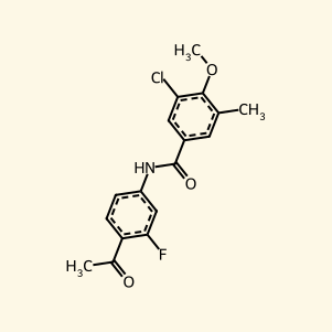 COc1c(C)cc(C(=O)Nc2ccc(C(C)=O)c(F)c2)cc1Cl